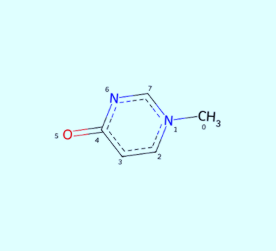 Cn1ccc(=O)nc1